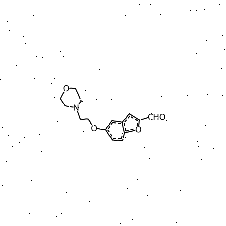 O=Cc1cc2cc(OCCN3CCOCC3)ccc2o1